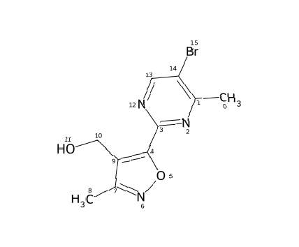 Cc1nc(-c2onc(C)c2CO)ncc1Br